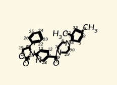 Cc1ccc(N2CCN(C(=O)c3ccc(N4C(=O)OC[C@H]4c4ccccc4)nc3)CC2)c(C)c1